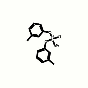 CCC[PH](Cl)(Oc1cccc(C)c1)Oc1cccc(C)c1